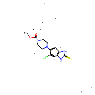 CC(C)(C)OC(=O)N1CCN(c2cc3[nH]c(=S)[nH]c3cc2Cl)CC1